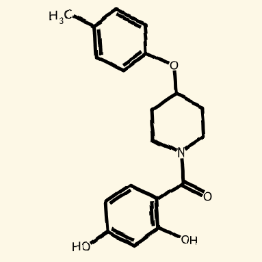 Cc1ccc(OC2CCN(C(=O)c3ccc(O)cc3O)CC2)cc1